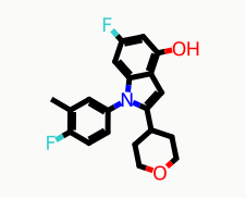 Cc1cc(-n2c(C3CCOCC3)cc3c(O)cc(F)cc32)ccc1F